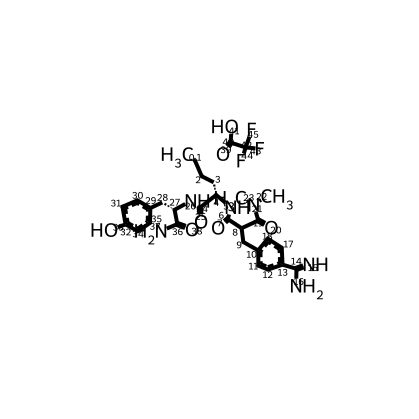 CCCC[C@H](NC(=O)C(Cc1ccc(C(=N)N)cc1)C(=O)N(C)C)C(=O)N[C@@H](Cc1ccc(O)cc1)C(N)=O.O=C(O)C(F)(F)F